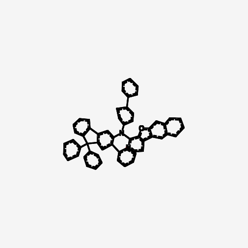 c1ccc(-c2ccc(N(c3cc4c(cc3-c3ccccc3)C(c3ccccc3)(c3ccccc3)c3ccccc3-4)c3nccc4c3oc3cc5ccccc5cc34)cc2)cc1